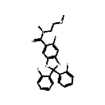 COCCN(C)C(=O)c1cc2c(cc1F)OC(c1ccccc1F)(c1ccccc1F)O2